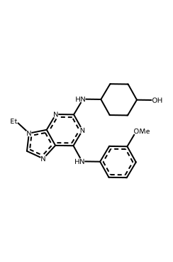 CCn1cnc2c(Nc3cccc(OC)c3)nc(NC3CCC(O)CC3)nc21